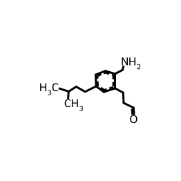 CC(C)CCc1ccc(CN)c(CCC=O)c1